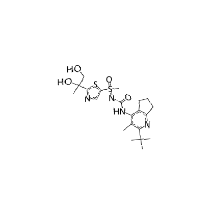 Cc1c(C(C)(C)C)nc2c(c1NC(=O)N=S(C)(=O)c1cnc(C(C)(O)CO)s1)CCC2